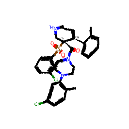 Cc1ccccc1[C@@H]1CCNC[C@@]1(C(=O)N1CCN(c2cc(Cl)ccc2C)CC1)S(=O)(=O)c1cccc(Cl)c1